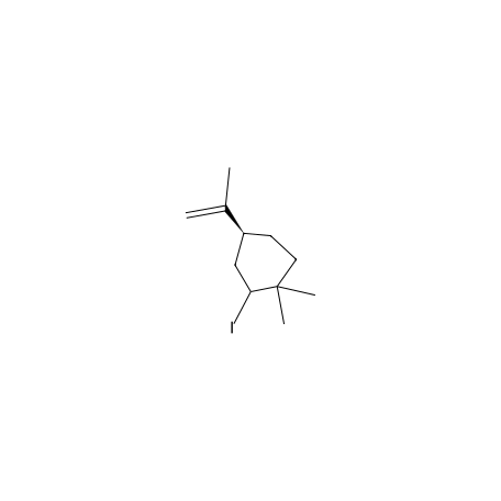 C=C(C)[C@H]1CCC(C)(C)C(I)C1